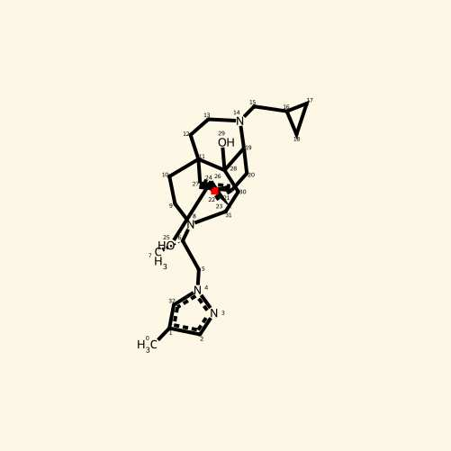 Cc1cnn(C[C@H](C)N2CCC34CCN(CC5CC5)C(Cc5ccc(O)cc53)C4(O)CC2)c1